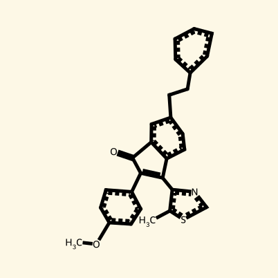 COc1ccc(C2=C(c3ncsc3C)c3ccc(CCc4ccccc4)cc3C2=O)cc1